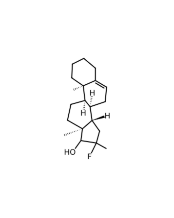 CC1(F)C[C@H]2[C@@H]3CC=C4CCCC[C@]4(C)[C@@H]3CC[C@]2(C)C1O